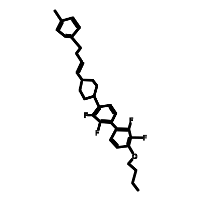 CCCCOc1ccc(-c2ccc(C3CCC(/C=C/CCc4ccc(C)cc4)CC3)c(F)c2F)c(F)c1F